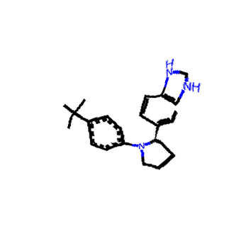 C/C=C(\C=C/C1=CNCN1)[C@H]1CCCN1c1ccc(C(C)(C)C)cc1